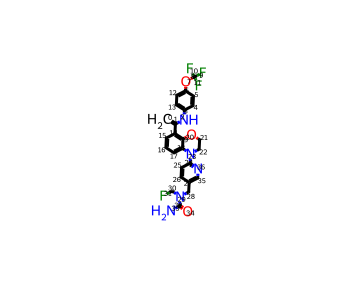 C=C(Nc1ccc(OC(F)(F)F)cc1)c1cccc2c1OCCN2c1ccc(CN(CF)C(N)=O)cn1